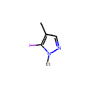 CCn1ncc(C)c1I